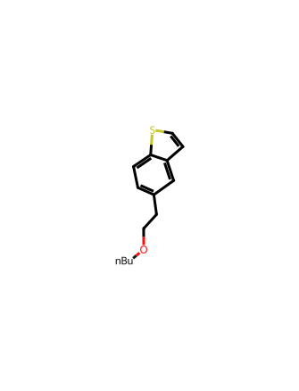 CCCCOCCc1ccc2sccc2c1